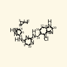 F[C@@H]1C[C@H]1c1cc(Nc2ccnc(NCc3ccc4[nH]cnc4c3Cl)n2)n[nH]1